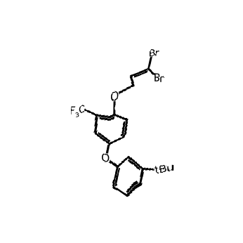 CC(C)(C)c1cccc(Oc2ccc(OCC=C(Br)Br)c(C(F)(F)F)c2)c1